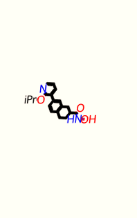 CC(C)Oc1ncccc1-c1ccc2c(c1)CC(C(=O)NO)CC2